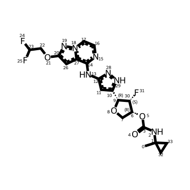 CC1(NC(=O)O[C@@H]2CO[C@H](c3cc(Nc4nccn5nc(OCC(F)F)cc45)n[nH]3)[C@@H]2F)CC1